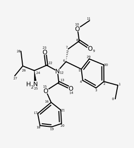 CCc1ccc([C@@H](CC(=O)OC)N(C(=O)Oc2ccccc2)C(=O)[C@@H](N)C(C)C)cc1